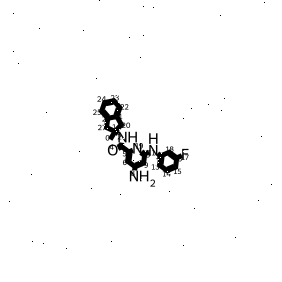 CC1(NC(=O)c2cc(N)cc(Nc3cccc(F)c3)n2)Cc2ccccc2C1